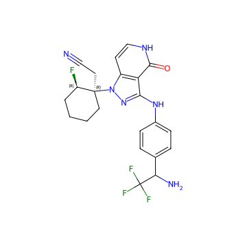 N#CC[C@]1(n2nc(Nc3ccc(C(N)C(F)(F)F)cc3)c3c(=O)[nH]ccc32)CCCC[C@H]1F